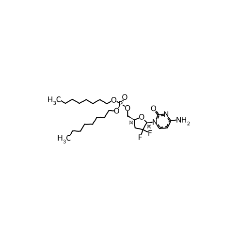 CCCCCCCCOP(=O)(OCCCCCCCC)OC[C@@H]1CC(F)(F)[C@H](n2ccc(N)nc2=O)O1